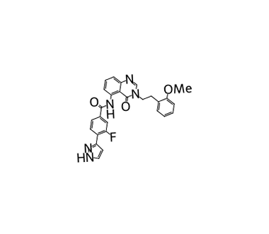 COc1ccccc1CCn1cnc2cccc(NC(=O)c3ccc(-c4cc[nH]n4)c(F)c3)c2c1=O